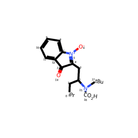 CC(C)CC(CC1=[N+]([O-])c2ccccc2C1=O)N(C(=O)O)C(C)(C)C